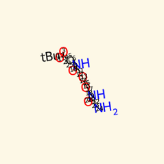 CC(C)(C)OC(=O)C1CCC(NC(=O)CCOCCOCCNC(=O)CCN)CC1